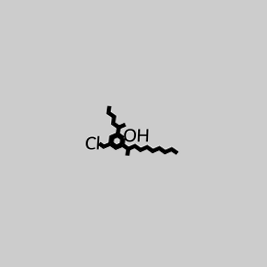 CCCCCCCCC(C)c1cc(CCl)cc(C(C)CCCC)c1O